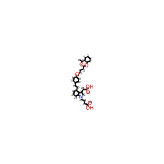 CC(=O)c1ccccc1OCCCCOc1ccc(C=Cc2cccc3c2c(CC(=O)O)cn3CCCC(=O)O)cc1